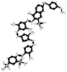 COc1ccc(Nc2ccc3c(O)c(N=Nc4cc(C)c(/N=N\c5ccc(/N=N\c6ccc(N=Nc7ccc(S(=O)(=O)O)cc7S(=O)(=O)O)c(C)c6)c(C)c5)cc4O)c(S(=O)(=O)O)cc3c2)cc1